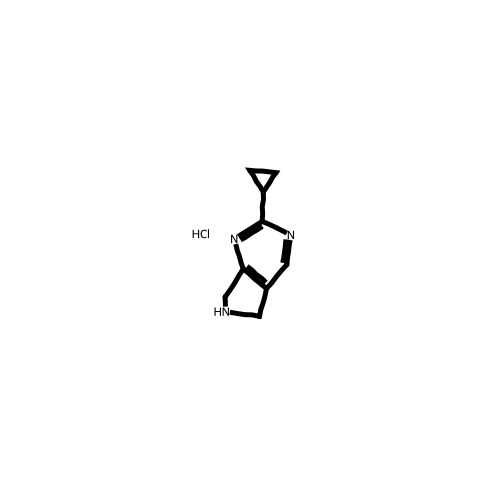 Cl.c1nc(C2CC2)nc2c1CNC2